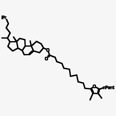 CCCCCc1oc(CCCCCCCCCCC(=O)OC2CCC3(C)C(=CCC4C3CCC3(C)C(C(C)CCCC(C)C)CCC43)C2)c(C)c1C